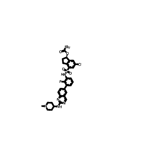 CN1CCC(Nc2ncc3cc(-c4cccc(NS(=O)(=O)c5cc(Cl)cc6c5CC[C@H]6OC(=O)C(C)(C)C)c4F)ccc3n2)CC1